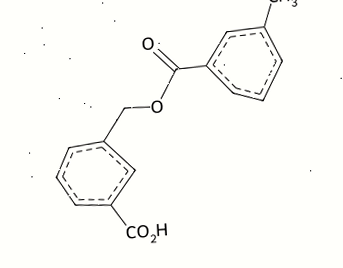 Cc1cccc(C(=O)OCc2cccc(C(=O)O)c2)c1